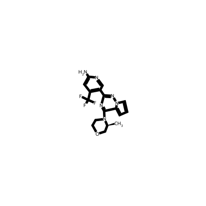 C[C@H]1COCCN1c1nc(-c2cnc(N)cc2C(F)(F)F)nn2cccc12